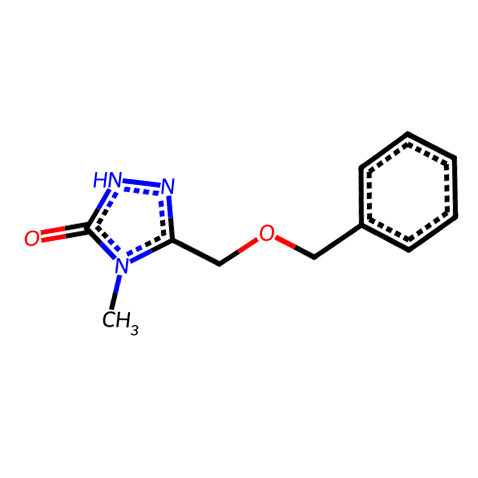 Cn1c(COCc2ccccc2)n[nH]c1=O